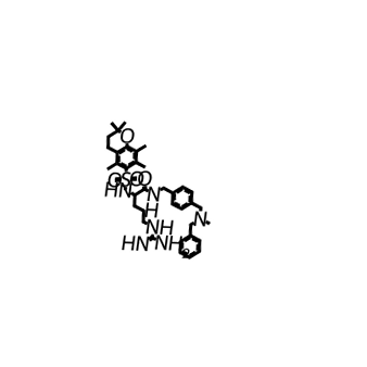 Cc1c(C)c(S(=O)(=O)NC(CCCNC(=N)N)C(=O)NCc2ccc(CN(C)Cc3ccccc3)cc2)c(C)c2c1OC(C)(C)CC2